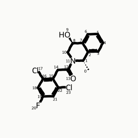 C[C@H]1c2ccccc2[C@H](O)CN1C(=O)Cc1c(Cl)cc(F)cc1Cl